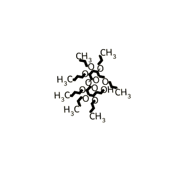 CCCCOCC1O[C@H](O[C@H]2OC(CO)[C@@H](OCCCC)C(OCCCC)C2OCCCC)C(OCCCC)C(OCCCC)[C@@H]1OCCCC